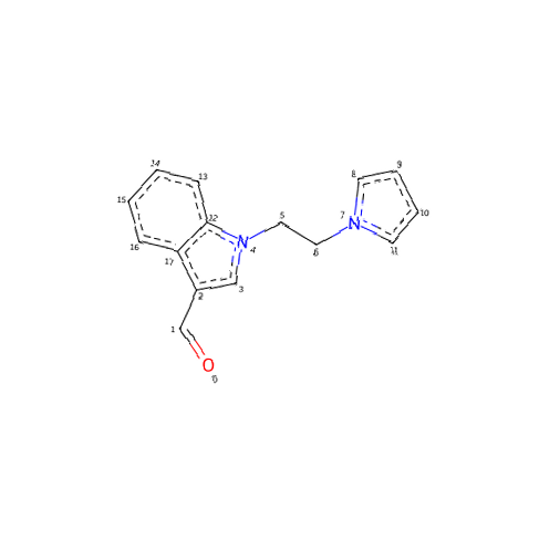 O=Cc1cn(CCn2cccc2)c2ccccc12